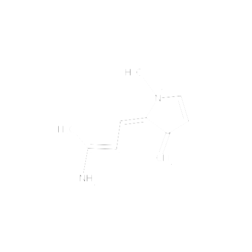 C=c1ccn(C)/c1=C/C=C(\C)N